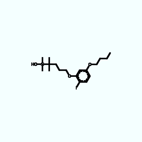 CCCCOc1ccc(I)c(OCCCC(C)(C)[Si](C)(C)O)c1